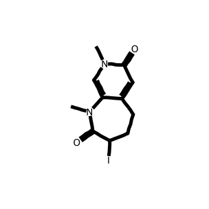 CN1C(=O)C(I)CCc2cc(=O)n(C)cc21